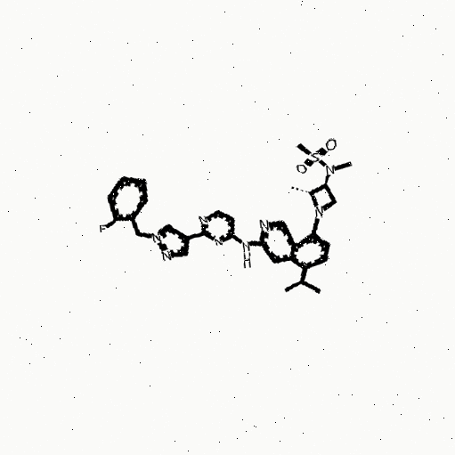 CC(C)c1ccc(N2C[C@H](N(C)S(C)(=O)=O)[C@H]2C)c2cnc(Nc3ccnc(-c4cnn(Cc5ccccc5F)c4)n3)cc12